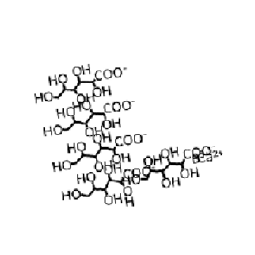 O=C([O-])C(O)C(O)C(O)C(O)CO.O=C([O-])C(O)C(O)C(O)C(O)CO.O=C([O-])C(O)C(O)C(O)C(O)CO.O=C([O-])C(O)C(O)C(O)C(O)CO.O=C([O-])C(O)C(O)C(O)C(O)CO.[B+3].[Ca+2]